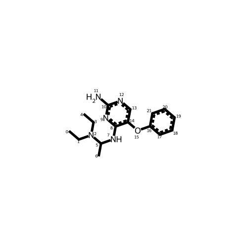 CCN(CC)C(C)Nc1nc(N)ncc1Oc1ccccc1